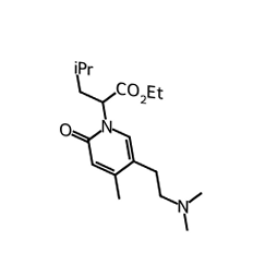 CCOC(=O)C(CC(C)C)n1cc(CCN(C)C)c(C)cc1=O